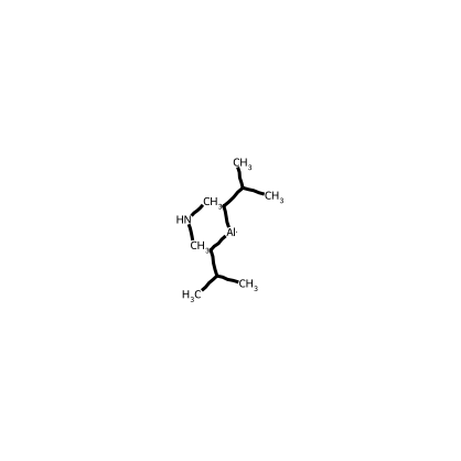 CC(C)[CH2][Al][CH2]C(C)C.CNC